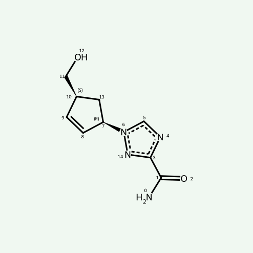 NC(=O)c1ncn([C@H]2C=C[C@@H](CO)C2)n1